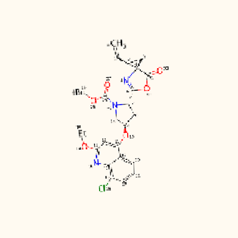 C=C[C@H]1C[C@@]12N=C([C@@H]1C[C@@H](Oc3cc(OCC)nc4c(Cl)cccc34)CN1C(=O)OC(C)(C)C)OC2=O